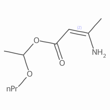 CCCOC(C)OC(=O)/C=C(/C)N